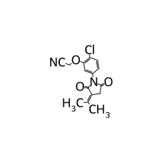 CC(C)=C1CC(=O)N(c2ccc(Cl)c(OCC#N)c2)C1=O